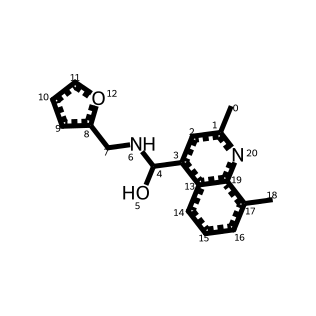 Cc1cc(C(O)NCc2ccco2)c2cccc(C)c2n1